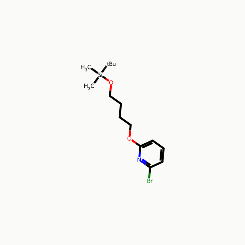 CC(C)(C)[Si](C)(C)OCCCCOc1cccc(Br)n1